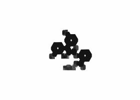 CCCCCCCCOC(=O)c1ccccc1OC(=O)C(C#N)=C(c1cccc(Cl)c1)c1cccc(Cl)c1